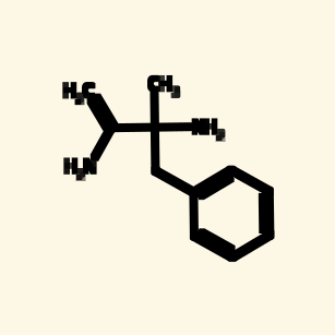 C=C(N)C(C)(N)Cc1ccccc1